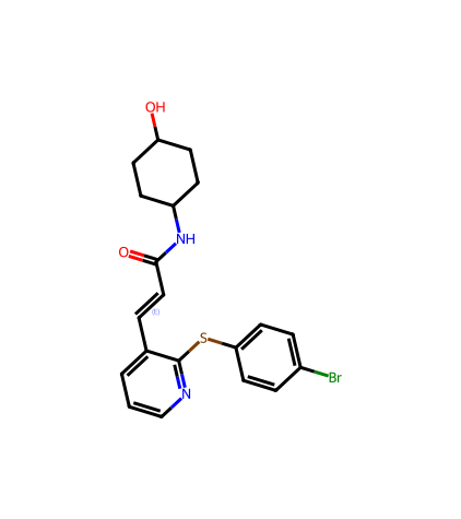 O=C(/C=C/c1cccnc1Sc1ccc(Br)cc1)NC1CCC(O)CC1